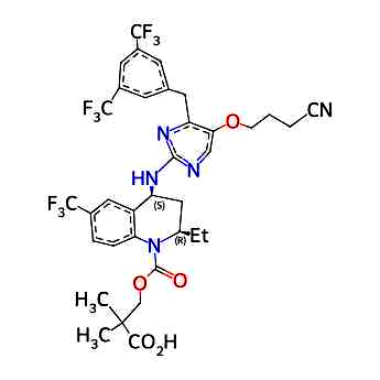 CC[C@@H]1C[C@H](Nc2ncc(OCCCC#N)c(Cc3cc(C(F)(F)F)cc(C(F)(F)F)c3)n2)c2cc(C(F)(F)F)ccc2N1C(=O)OCC(C)(C)C(=O)O